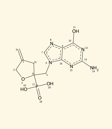 C=C1COC(Cn2cnc3c(O)nc(N)nc32)(P(=O)(O)O)C1